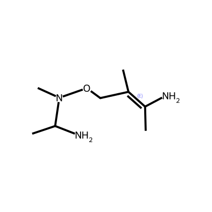 C/C(N)=C(/C)CON(C)C(C)N